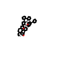 C1=Cc2ccccc2C2(c3ccccc31)c1ccccc1-c1ccc(N(c3ccc(-c4ccccc4)cc3)c3cccc4c3N(c3ccccc3)c3ccccc3-c3ccccc3-4)cc12